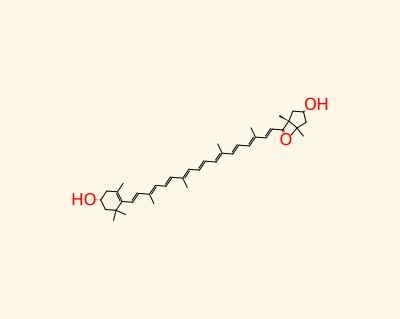 CC1=C(/C=C/C(C)=C/C=C/C(C)=C/C=C/C=C(C)/C=C/C=C(C)/C=C/C(=O)[C@]2(C)C[C@@H](O)CC2(C)C)C(C)(C)C[C@H](O)C1